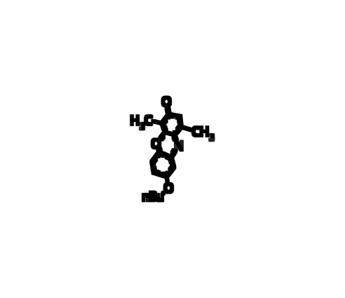 CCCCOc1ccc2oc3c(C)c(=O)cc(C)c-3nc2c1